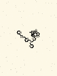 CC(C)C1=CC2CC3(C=O)[C@@H]4CC[C@@H](C)[C@H]4CC2(C2CCC(CN(Cc4ccccn4)Cc4cccc(CNCCc5ccccn5)n4)O2)C13C(=O)O